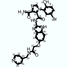 Cc1ccc(Br)cc1-n1cnc(C(N)=O)c1C(=O)Nc1nc2cc(OCC(=O)NCc3ccncc3)ccc2[nH]1